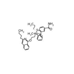 CCCCc1cc2ccccc2c(OCC[N+](C)(C)[C@H](CCC)c2ccc(C(N)=O)cc2-c2ccccc2)n1